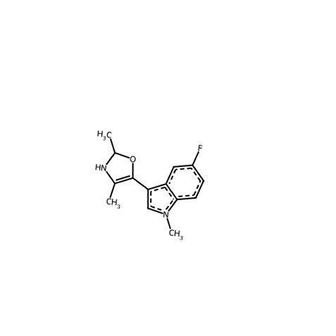 CC1=C(c2cn(C)c3ccc(F)cc23)OC(C)N1